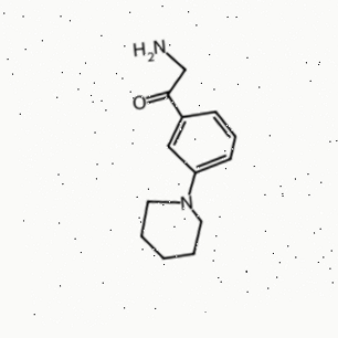 NCC(=O)c1cccc(N2CCCCC2)c1